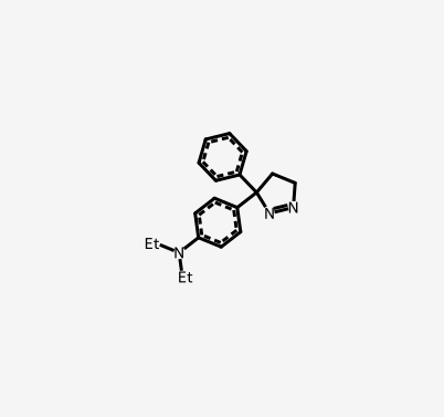 CCN(CC)c1ccc(C2(c3ccccc3)CCN=N2)cc1